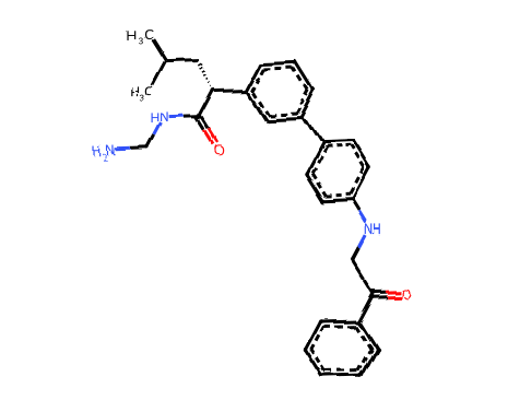 CC(C)C[C@@H](C(=O)NCN)c1cccc(-c2ccc(NCC(=O)c3ccccc3)cc2)c1